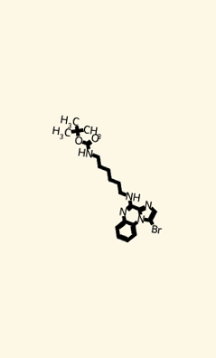 CC(C)(C)OC(=O)NCCCCCCNc1nc2ccccc2n2c(Br)cnc12